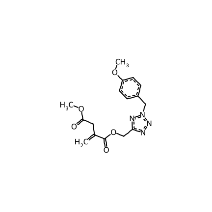 C=C(CC(=O)OC)C(=O)OCc1nnn(Cc2ccc(OC)cc2)n1